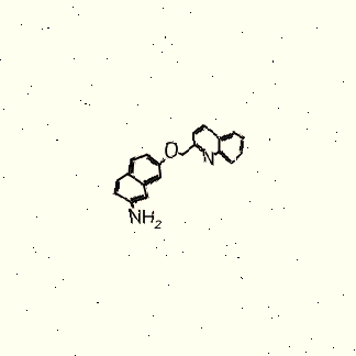 Nc1ccc2ccc(OCc3ccc4ccccc4n3)cc2c1